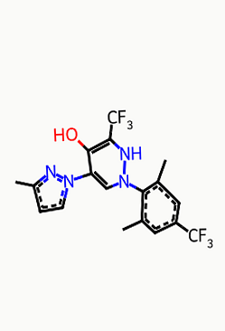 Cc1ccn(C2=CN(c3c(C)cc(C(F)(F)F)cc3C)NC(C(F)(F)F)=C2O)n1